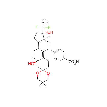 CC1(C)COC2(CCC3=C4C(CC[C@@]3(O)C2)C2CC[C@@](O)(C(F)(F)C(F)(F)F)[C@@]2(C)C[C@@H]4c2ccc(C(=O)O)cc2)OC1